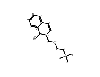 C[Si](C)(C)CCOCN1C=Cc2ccccc2C1Br